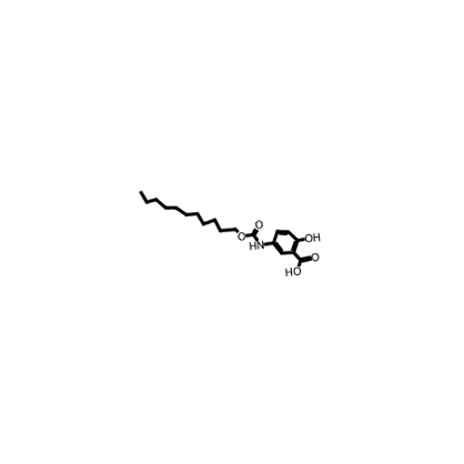 CCCCCCCCCCCOC(=O)Nc1ccc(O)c(C(=O)O)c1